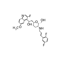 COc1ccc2ncc(F)c(C(O)C[C@@H]3CC[C@@H](NCC=Cc4cc(F)ccc4F)[C@@H](CO)O3)c2c1